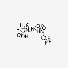 CC1CN(C2CC[C@@](C(=O)NCc3cccc(C(F)(F)F)c3)(C3CC3)OC2)CCN1c1ccc(F)c(C(=O)O)c1